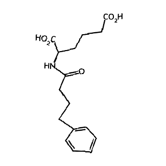 O=C(O)CCCC(NC(=O)CCCc1ccccc1)C(=O)O